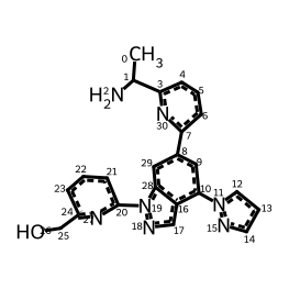 CC(N)c1cccc(-c2cc(-n3cccn3)c3cnn(-c4cccc(CO)n4)c3c2)n1